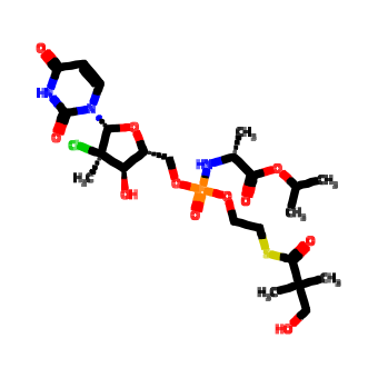 CC(C)OC(=O)[C@@H](C)NP(=O)(OCCSC(=O)C(C)(C)CO)OC[C@H]1O[C@@H](n2ccc(=O)[nH]c2=O)[C@](C)(Cl)[C@@H]1O